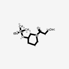 CCCCCCCCCCCC(=O)N1CCCC(O[Si](C)(C)C(C)(C)C)C1